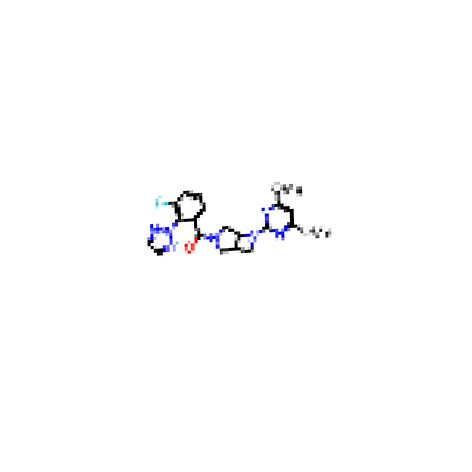 COc1cc(OC)nc(N2CC3CN(C(=O)c4cccc(F)c4-n4nccn4)CC32)n1